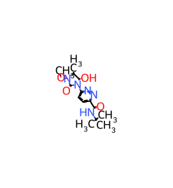 CON1C(=O)N(c2ccc(C(=O)NC(C)(C)C)nn2)C(O)C1C